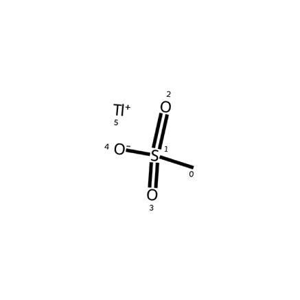 CS(=O)(=O)[O-].[Tl+]